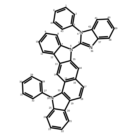 c1ccc(-n2c(-n3c4ccccc4c4cc5c(ccc6c7ccccc7n(-c7ccccc7)c56)cc43)nc3ccccc32)cc1